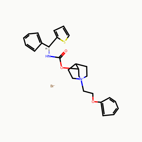 O=C(N[C@H](c1ccccc1)c1cccs1)OC1C[N+]2(CCOc3ccccc3)CCC1CC2.[Br-]